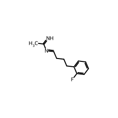 CC(=N)/N=C/CCCc1ccccc1F